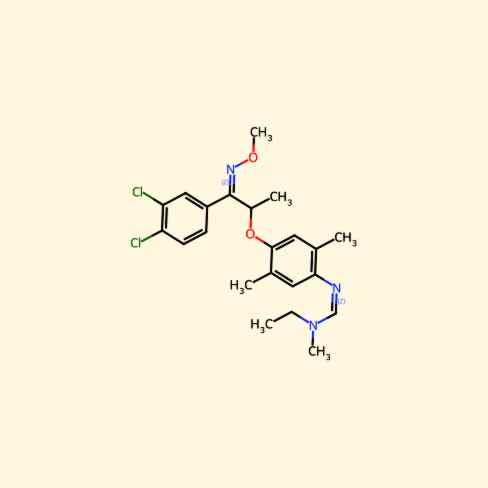 CCN(C)/C=N\c1cc(C)c(OC(C)/C(=N\OC)c2ccc(Cl)c(Cl)c2)cc1C